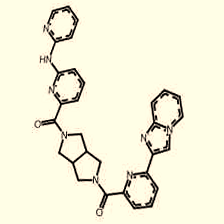 O=C(c1cccc(Nc2ccccn2)n1)N1CC2CN(C(=O)c3cccc(-c4cn5ccccc5n4)n3)CC2C1